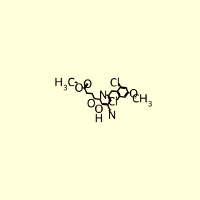 CCOC(=O)CCC(=O)c1nc(Cc2c(Cl)cc(OC)cc2Cl)cc(C#N)c1O